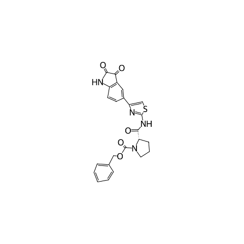 O=C1Nc2ccc(-c3csc(NC(=O)[C@@H]4CCCN4C(=O)OCc4ccccc4)n3)cc2C1=O